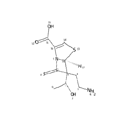 CC(O)C1(CCN)C(=S)N2C(C(=O)O)=CS[C@H]21